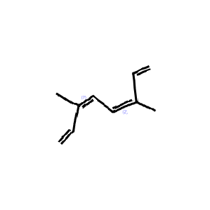 C=C/C(C)=C\C=C(\C)C=C